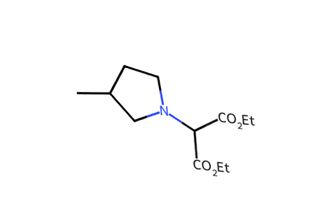 CCOC(=O)C(C(=O)OCC)N1CCC(C)C1